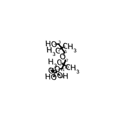 CC(C)(CO)COCC(C)(C)COP(=O)(O)O